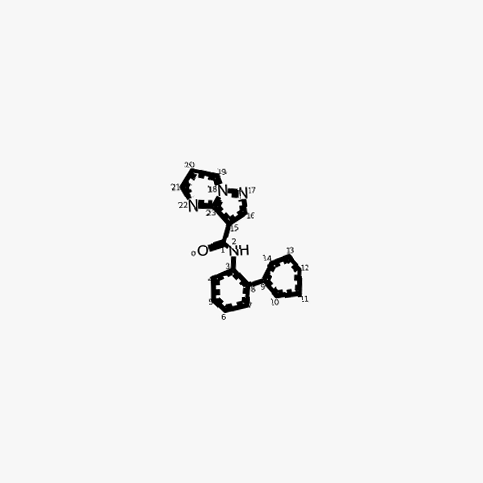 O=C(Nc1ccccc1-c1ccccc1)c1cnn2cccnc12